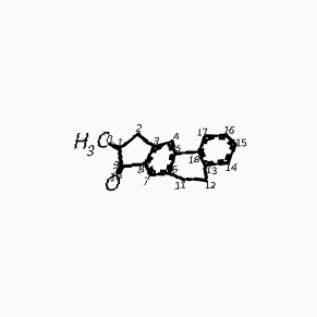 CC1Cc2cc3c(cc2C1=O)CCc1ccccc1-3